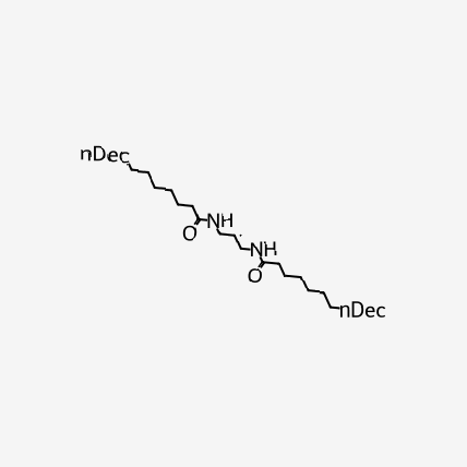 CCCCCCCCCCCCCCCCC(=O)NC[CH]CNC(=O)CCCCCCCCCCCCCCCC